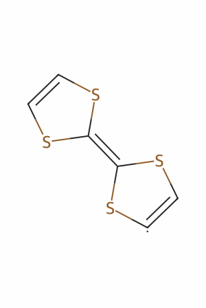 [C]1=CSC(=C2SC=CS2)S1